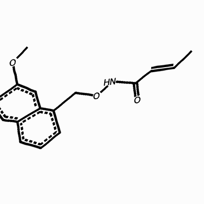 CC=CC(=O)NOCc1cccc2ccc(OC)cc12